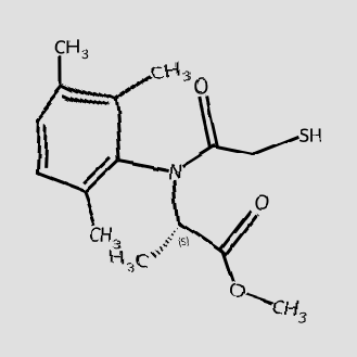 COC(=O)[C@H](C)N(C(=O)CS)c1c(C)ccc(C)c1C